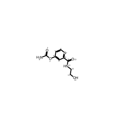 NC(=O)Oc1ccnc(C(=O)NCCO)c1